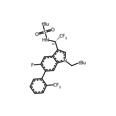 CC(C)(C)Cn1cc([C@H](NS(=O)(=O)C(C)(C)C)C(F)(F)F)c2cc(F)c(-c3ccccc3C(F)(F)F)cc21